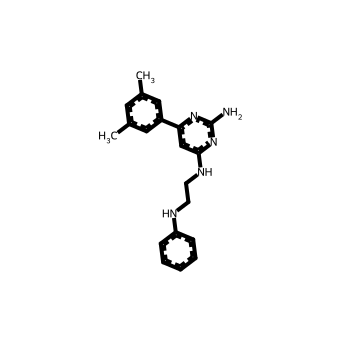 Cc1cc(C)cc(-c2cc(NCCNc3ccccc3)nc(N)n2)c1